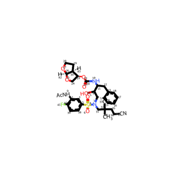 CC(=O)Nc1cc(S(=O)(=O)N(CC(O)C(Cc2ccccc2)NC(=O)O[C@H]2CO[C@H]3OCC[C@H]32)CC(C)(C)CCC#N)ccc1F